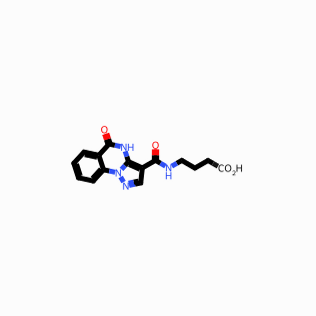 O=C(O)CCCNC(=O)c1cnn2c1[nH]c(=O)c1ccccc12